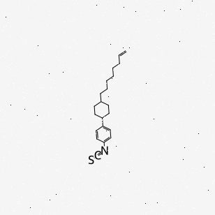 C=CCCCCCCC1CCC(c2ccc(N=C=S)cc2)CC1